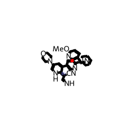 COc1ccc(CN2C3CC2CN(c2ccc(C4=CC(N5CCOCC5)=CN/C4=C(/C#N)C=N)cn2)C3)cn1